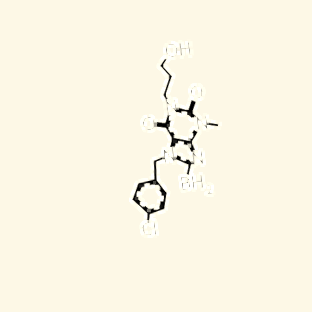 Bc1nc2c(c(=O)n(CCCO)c(=O)n2C)n1Cc1ccc(Cl)cc1